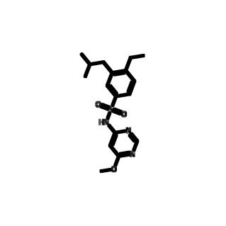 CCc1ccc(S(=O)(=O)Nc2cc(OC)ncn2)cc1CC(C)C